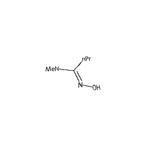 CCC/C(=N\O)NC